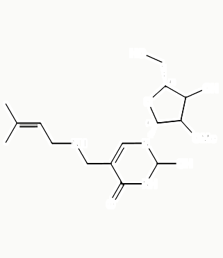 COC1C(O)[C@@H](CO)O[C@H]1N1C=C(CNCC=C(C)C)C(=O)NC1O